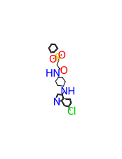 O=C(CCS(=O)(=O)c1ccccc1)NC1CCC(Nc2ccnc3cc(Cl)ccc23)CC1